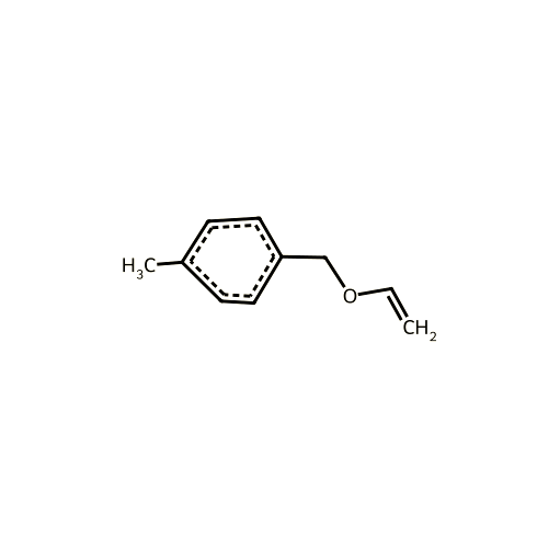 C=COCc1ccc(C)cc1